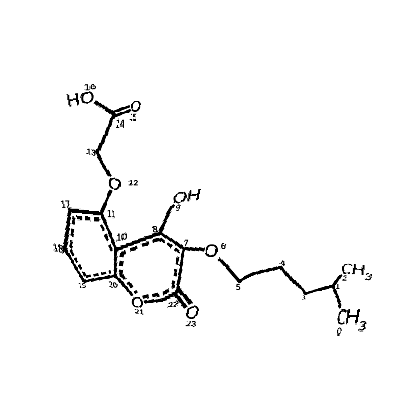 CC(C)CCCOc1c(O)c2c(OCC(=O)O)cccc2oc1=O